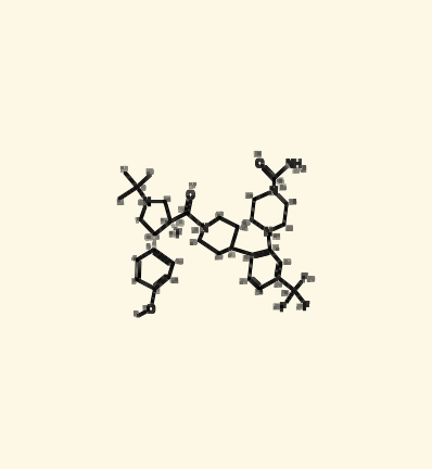 COc1ccc([C@@H]2CN(C(C)(C)C)C[C@@]2(F)C(=O)N2CCC(c3ccc(C(F)(F)F)cc3N3CCN(C(N)=O)CC3)CC2)cc1